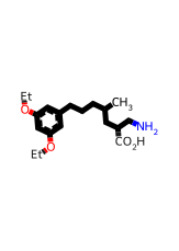 CCOc1cc(CCCC(C)CC(CN)C(=O)O)cc(OCC)c1